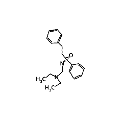 CCN(CC)CN=S(=O)(CCc1ccccc1)c1ccccc1